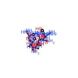 CC[C@H](C)[C@H](NC(=O)[C@H](CC(C)C)NC(=O)[C@H](CC(N)=O)NC(=O)[C@H](CC(C)C)NC(=O)[C@H](Cc1ccc(O)cc1)NC(=O)[C@H](C)NC(=O)[C@H](CCCNC(=N)N)NC(=O)c1ccc(CN)cc1)C(=O)N[C@H](C(=O)N[C@@H](CCCNC(=N)N)C(=O)N[C@@H](CCC(N)=O)C(=O)N[C@@H](CCCNC(=N)N)C(=O)N[C@@H](Cc1ccc(O)cc1)C(N)=O)[C@@H](C)O